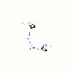 CN(C)Cc1cccc(OCCCN/C(=C/[N+](=O)[O-])NCCCCN/C(=C\[N+](=O)[O-])NCCCOc2cccc(CN(C)C)c2)c1